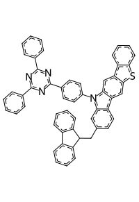 c1ccc(-c2nc(-c3ccccc3)nc(-c3ccc(-n4c5cc(CC6c7ccccc7-c7ccccc76)ccc5c5cc6sc7ccccc7c6cc54)cc3)n2)cc1